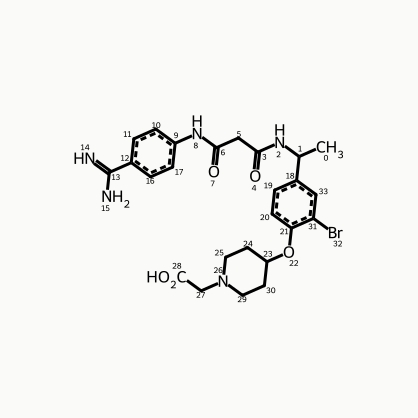 CC(NC(=O)CC(=O)Nc1ccc(C(=N)N)cc1)c1ccc(OC2CCN(CC(=O)O)CC2)c(Br)c1